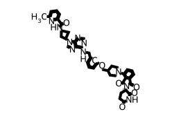 Cc1cccc(C(=O)NC2CC(n3cnc4c(NCc5cccc(OCC6CCN(c7cccc8c7C(=O)N([C@H]7CCC(=O)NC7=O)C8=O)CC6)c5)ncnc43)C2)n1